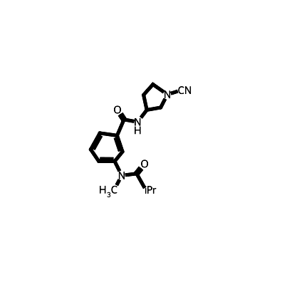 CC(C)C(=O)N(C)c1cccc(C(=O)NC2CCN(C#N)C2)c1